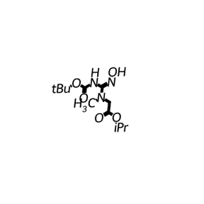 CC(C)OC(=O)CN(C)/C(=N/O)NC(=O)OC(C)(C)C